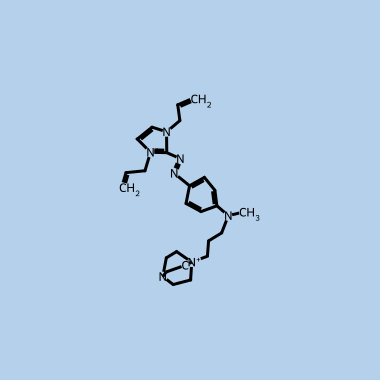 C=CCn1cc[n+](CC=C)c1/N=N/c1ccc(N(C)CCC[N+]23CCN(CC2)CC3)cc1